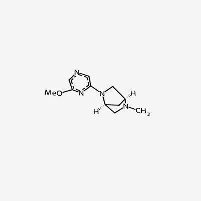 COc1cncc(N2C[C@@H]3C[C@H]2CN3C)n1